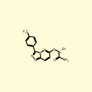 CC[C@@H](Sc1ccc2nnc(-c3ccc(C(F)(F)F)cc3)n2n1)C(N)=O